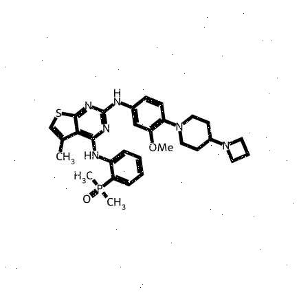 COc1cc(Nc2nc(Nc3ccccc3P(C)(C)=O)c3c(C)csc3n2)ccc1N1CCC(N2CCC2)CC1